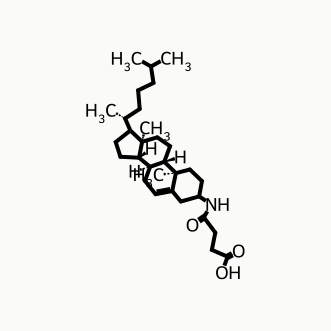 CC(C)CCC[C@@H](C)C1CC[C@H]2[C@@H]3CC=C4CC(NC(=O)CCC(=O)O)CC[C@]4(C)[C@H]3CC[C@]12C